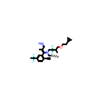 C#Cc1ccc(C(C)(F)F)cc1/C(=C(\C)C=N)N(CNC)CC(F)(F)C(C)COCCC1CC1